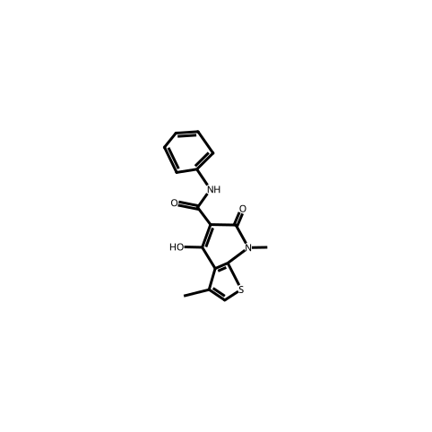 Cc1csc2c1c(O)c(C(=O)Nc1ccccc1)c(=O)n2C